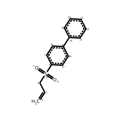 C=CCS(=O)(=O)c1ccc(-c2ccccc2)cc1